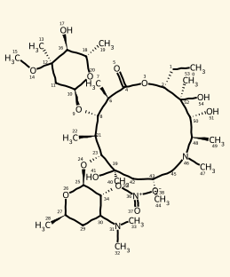 CC[C@H]1OC(=O)[C@H](C)[C@@H](O[C@H]2C[C@@](C)(OC)[C@@H](O)[C@H](C)O2)[C@H](C)[C@@H](O[C@@H]2O[C@H](C)CC(N(C)C)[C@H]2O[N+](=O)[O-])[C@](C)(O)C[C@@H](C)CN(C)[C@H](C)[C@@H](O)[C@]1(C)O